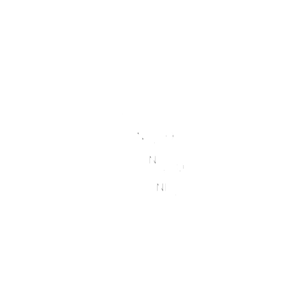 CC(C)CN1CCN(C(N)=O)C1=O